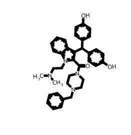 CN(C)CCn1c(C(=O)N2CCN(Cc3ccccc3)CC2)c(C(c2ccc(O)cc2)c2ccc(O)cc2)c2ccccc21